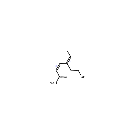 C=C(/C=C\C(=C/C)CCO)OC